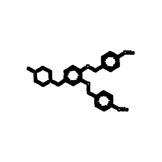 COc1ccc(COc2ccc(CN3CCN(C)CC3)cc2OCc2ccc(OC)cc2)cc1